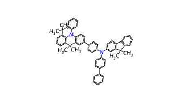 CC1(C)c2ccccc2-c2ccc(N(c3ccc(-c4ccccc4)cc3)c3ccc(-c4ccc5c(c4)C(C)(C)c4cccc6c4N5c4ccccc4C6(C)C)cc3)cc21